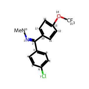 CNN=C(c1ccc(Cl)cc1)c1ccc(OC(F)(F)F)cc1